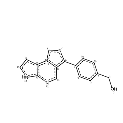 OCc1ccc(-c2ncn3c2cnc2[nH]ccc23)cc1